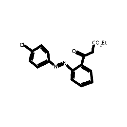 CCOC(=O)CC(=O)c1ccccc1N=Nc1ccc(Cl)cc1